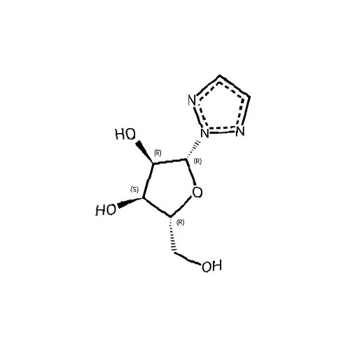 OC[C@H]1O[C@@H](n2nccn2)[C@H](O)[C@@H]1O